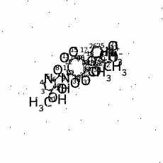 COc1ccnc(C(=O)N[C@H]2CC(=O)C(=O)[C@H](Cc3ccc([N+](=O)[O-])cc3)[C@H](OC(=O)C(C)C)[C@H](C)C(=O)C2=O)c1O